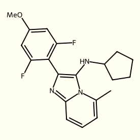 COc1cc(F)c(-c2nc3cccc(C)n3c2NC2CCCC2)c(F)c1